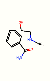 NC(=O)c1ccccc1.O=[N+]([O-])NCCO